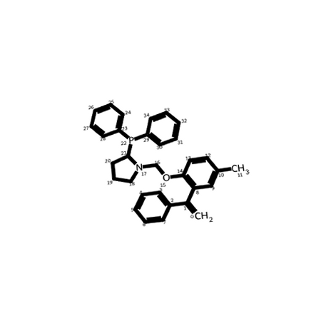 C=C(c1ccccc1)c1cc(C)ccc1OCN1CCCC1P(c1ccccc1)c1ccccc1